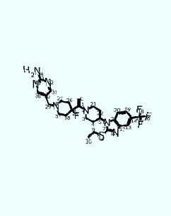 C=C(N1CCC(n2c(SCC)nc3cc(C(F)(F)F)ccc32)CC1)C1(F)CCN(Cc2cnc(N)nc2)CC1